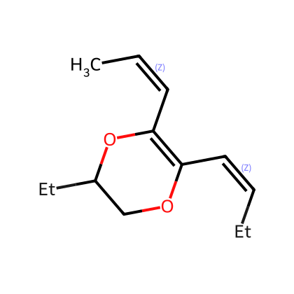 C/C=C\C1=C(/C=C\CC)OCC(CC)O1